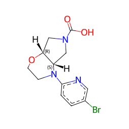 O=C(O)N1C[C@H]2OCCN(c3ccc(Br)cn3)[C@H]2C1